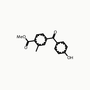 COC(=O)c1ccc(C(=O)c2ccc(O)cc2)cc1C